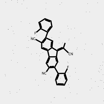 CC(C#N)=C1c2cc(-c3ccccc3F)c(C#N)cc2-c2cc(C#N)c(-c3ccccc3F)cc21